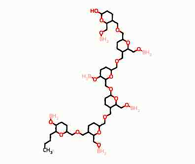 BOCC1OC(O)CCC1COCC1CCC(COCC2CCC(OB)C(COC3CCC(COCC4CCC(COCC5CCC(OB)C(CCCC)O5)C(COB)O4)C(COB)O3)O2)C(COB)O1